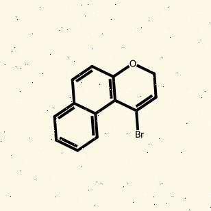 BrC1=CCOc2ccc3ccccc3c21